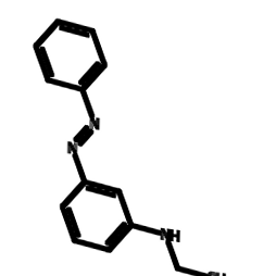 CCNc1cccc(N=Nc2ccccc2)c1